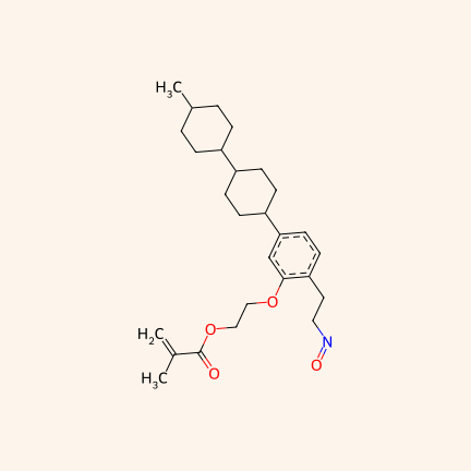 C=C(C)C(=O)OCCOc1cc(C2CCC(C3CCC(C)CC3)CC2)ccc1CCN=O